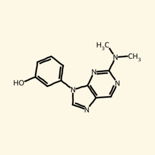 CN(C)c1ncc2ncn(-c3cccc(O)c3)c2n1